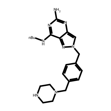 CCCCNc1nc(N)nc2cn(Cc3ccc(CN4CCNCC4)cc3)nc12